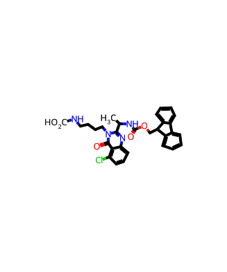 CC(NC(=O)OCC1c2ccccc2-c2ccccc21)c1nc2cccc(Cl)c2c(=O)n1CCCCNC(=O)O